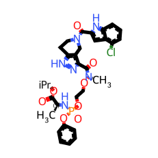 CC(C)OC(=O)[C@H](C)NP(=O)(OCCON(C)C(=O)c1n[nH]c2c1CN(C(=O)c1cc3c(Cl)cccc3[nH]1)CC2)Oc1ccccc1